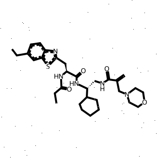 C=C(CN1CCOCC1)C(=O)NC[C@@H](NC(=O)[C@H](Cc1nc2ccc(CC)cc2s1)NC(=O)CC)C1CCCCC1